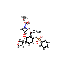 COC(=O)c1c(CS(=O)(=O)c2ccccc2)ccc(-c2ccoc2)c1OC1CN(C(=O)OC(C)(C)C)C1